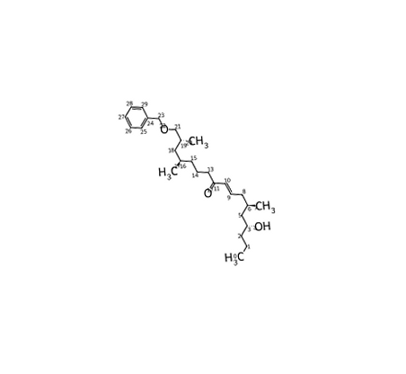 CCC[C@@H](O)C[C@H](C)C/C=C/C(=O)CCC[C@@H](C)C[C@@H](C)COCc1ccccc1